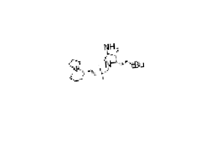 CC(C)(C)/C=C/C1CC(N)CN1CC(C)(C)/C=C/C1CCCN2CCCC12